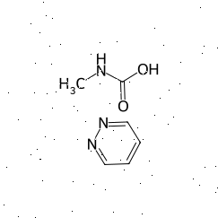 CNC(=O)O.c1ccnnc1